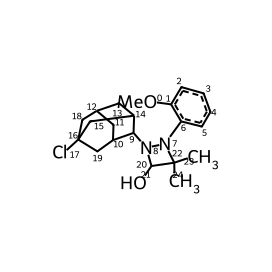 COc1ccccc1N1N(C2C3CC4CC2CC(Cl)(C4)C3)C(O)C1(C)C